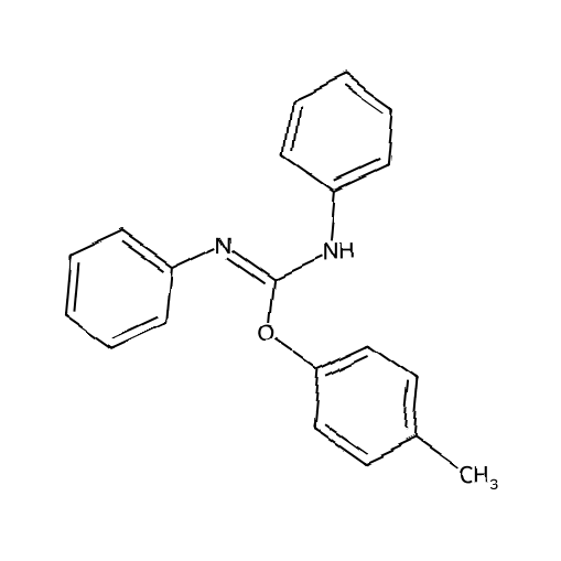 Cc1ccc(O/C(=N\c2ccccc2)Nc2ccccc2)cc1